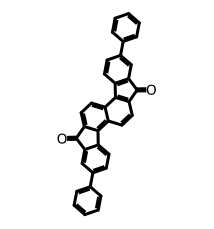 O=c1c2cc(-c3ccccc3)ccc2c2c1ccc1c2ccc2c(=O)c3cc(-c4ccccc4)ccc3c21